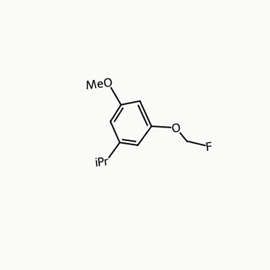 COc1cc(OCF)cc(C(C)C)c1